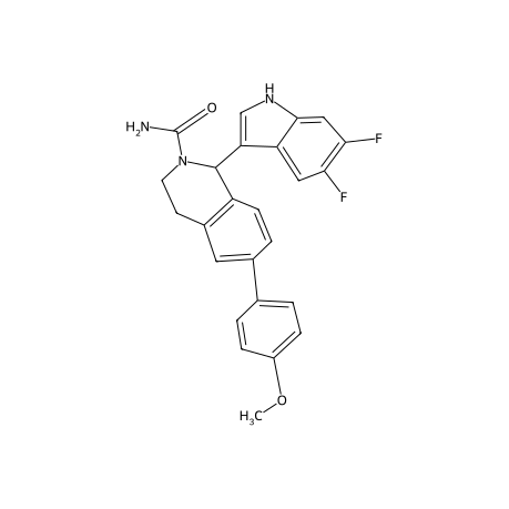 COc1ccc(-c2ccc3c(c2)CCN(C(N)=O)C3c2c[nH]c3cc(F)c(F)cc23)cc1